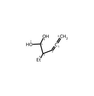 C=C=CC(CC)C(O)O